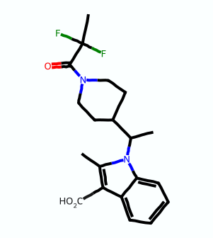 Cc1c(C(=O)O)c2ccccc2n1C(C)C1CCN(C(=O)C(C)(F)F)CC1